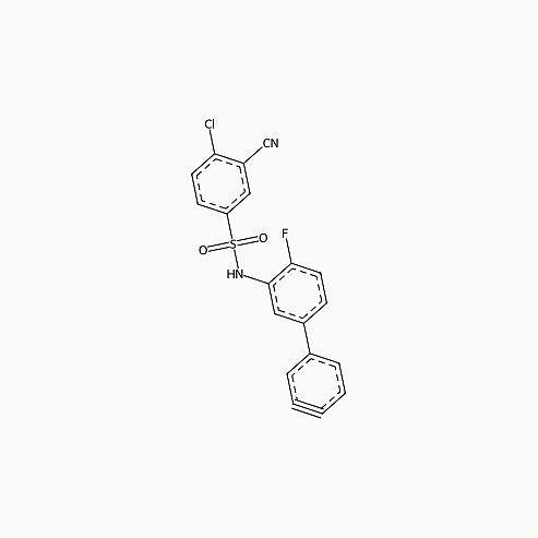 N#Cc1cc(S(=O)(=O)Nc2cc(-c3cc#ccc3)ccc2F)ccc1Cl